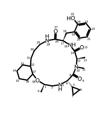 C[C@@H]1CN[C@@H](C2CC2)C(=O)N(C)[C@H](C)C(=O)N[C@H](Cc2ccccc2O)C(=O)NCCCC2CCCCC2O1